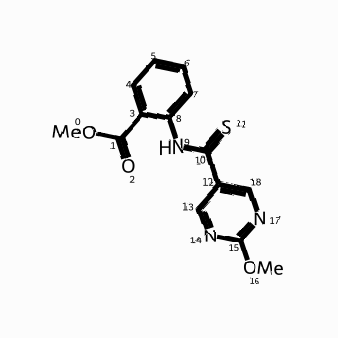 COC(=O)c1ccccc1NC(=S)c1cnc(OC)nc1